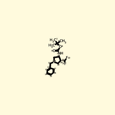 CC(C)(C)OC(=O)N[C@H]1CN(Cc2ccccc2)C[C@H]1C(F)F